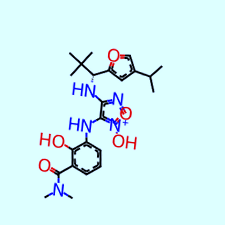 CC(C)c1coc([C@H](Nc2no[n+](O)c2Nc2cccc(C(=O)N(C)C)c2O)C(C)(C)C)c1